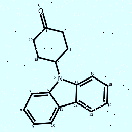 O=C1CCC(n2c3ccccc3c3ccccc32)CC1